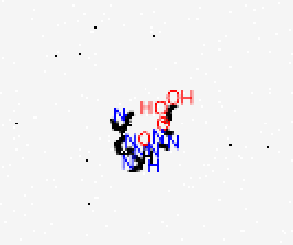 Cc1cc(-c2ccc3c(n2)N(C(=O)Nc2cncc(OCC(O)CO)n2)[C@H]2CCN3C2)ccn1